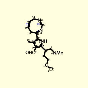 CCOCCC(CNC)c1[nH]c(/C2=N/C=N\C/C=C\C2)c(C)c1C=O